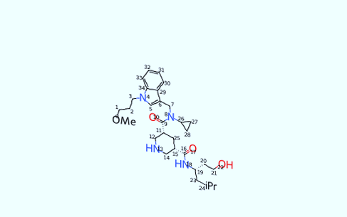 COCCCn1cc(CN(C(=O)[C@H]2CNC[C@@H](C(=O)N[C@H](CCO)CC(C)C)C2)C2CC2)c2ccccc21